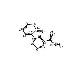 NC(=O)c1cccc2c1N=C1CC=CC=C12